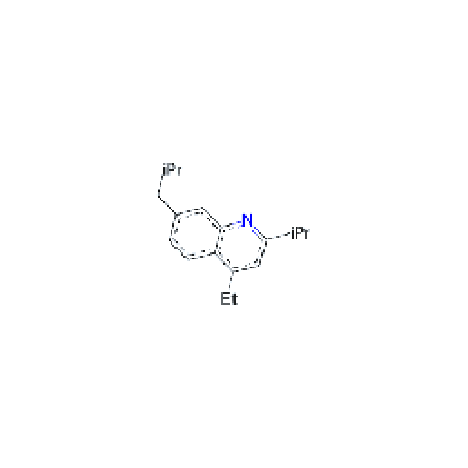 CCc1cc(C(C)C)nc2cc(CC(C)C)ccc12